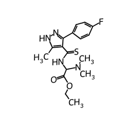 CCOC(=O)C(NC(=S)c1c(-c2ccc(F)cc2)n[nH]c1C)N(C)C